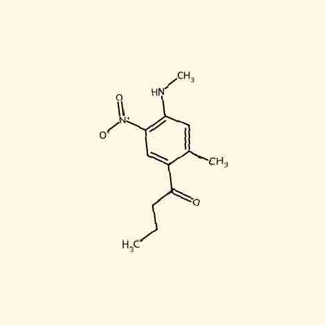 CCCC(=O)c1cc([N+](=O)[O-])c(NC)cc1C